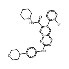 O=C(NN1CCCCC1)c1nc2nc(Nc3ccc(N4CCOCC4)cc3)ncc2cc1-c1ccccc1Br